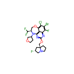 Fc1c(Br)c(Cl)c2c3c(nc(OC[C@@]45CCCN4C[C@H](F)C5)nc13)N(C1CCOC1)[C@@H](C(F)F)CO2